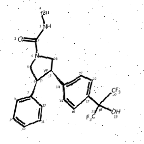 CC(C)(C)NC(=O)N1C[C@H](c2ccccc2)[C@H](c2ccc(C(O)(C(F)(F)F)C(F)(F)F)cc2)C1